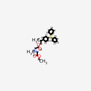 CCOC(=O)CN(C)CC(=O)OCC(C)c1ccc([S+](c2ccccc2)c2ccccc2)cc1